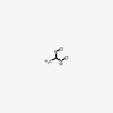 CC(=NCl)NCl